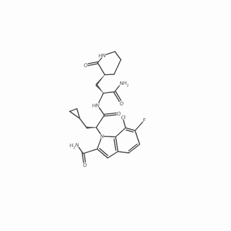 NC(=O)c1cc2ccc(F)c(Cl)c2n1[C@@H](CC1CC1)C(=O)N[C@@H](C[C@@H]1CCCNC1=O)C(N)=O